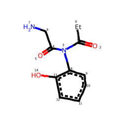 CCC(=O)N(C(=O)CN)c1ccccc1O